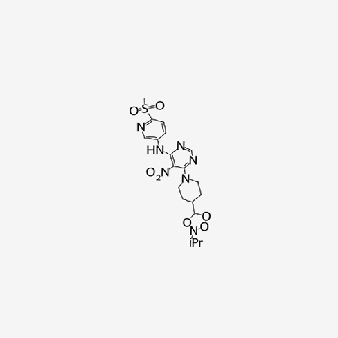 CC(C)N1OOC(C2CCN(c3ncnc(Nc4ccc(S(C)(=O)=O)nc4)c3[N+](=O)[O-])CC2)O1